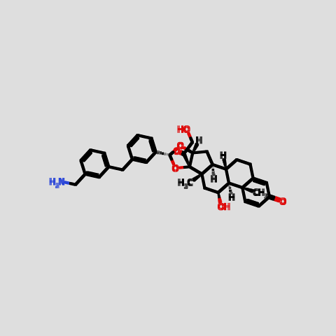 C[C@]12C=CC(=O)C=C1CC[C@@H]1[C@@H]2[C@@H](O)C[C@@]2(C)[C@H]1C[C@H]1O[C@@H](c3cccc(Cc4cccc(CN)c4)c3)O[C@]12C(=O)CO